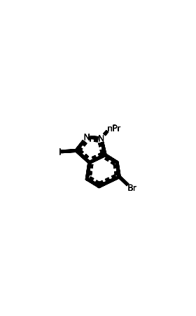 CCCn1nc(I)c2ccc(Br)cc21